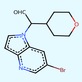 O=CC(C1CCOCC1)n1ccc2ncc(Br)cc21